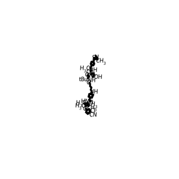 Cc1ncsc1-c1ccc([C@@H](C)NC(=O)[C@@H]2C[C@@H](O)CN2C(=O)[C@@H](NOCCCCNc2ccc(C(=O)N[C@H]3C(C)(C)[C@H](Oc4ccc(C#N)c(Cl)c4)C3(C)C)cc2)C(C)(C)C)cc1